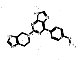 COc1ccc(-c2nc(N3CCc4nc[nH]c4C3)nc3[nH]cnc23)cc1